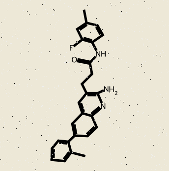 Cc1ccc(NC(=O)CCc2cc3cc(-c4ccccc4C)ccc3nc2N)c(F)c1